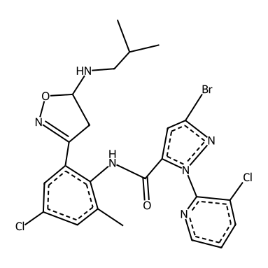 Cc1cc(Cl)cc(C2=NOC(NCC(C)C)C2)c1NC(=O)c1cc(Br)nn1-c1ncccc1Cl